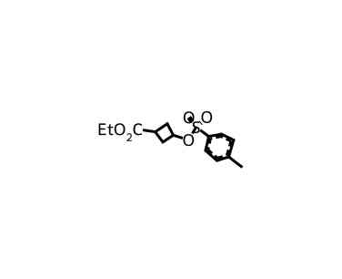 CCOC(=O)C1CC(OS(=O)(=O)c2ccc(C)cc2)C1